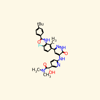 Cc1c(-c2cc(Nc3ccc([C@H](O)C(=O)N(C)C)cn3)c(=O)[nH]n2)ccc(F)c1NC(=O)c1ccc(C(C)(C)C)cc1